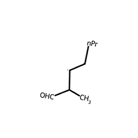 CCCC[CH]C(C)C=O